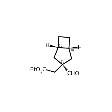 CCOC(=O)C[C@@]1(C=O)C[C@H]2CC[C@H]2C1